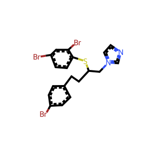 Brc1ccc(CCC(Cn2ccnc2)Sc2ccc(Br)cc2Br)cc1